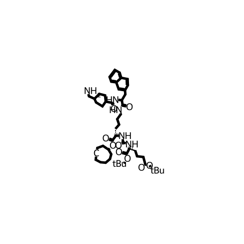 CC(C)(C)OC(=O)CCC[C@H](NC(=O)N[C@@H](CCCCNC(=O)C(Cc1ccc2ccccc2c1)NC(=O)C1CCC(CN)CC1)C(=O)OC1CCCCCCCC1)C(=O)OC(C)(C)C